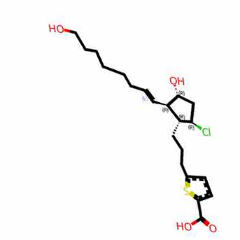 O=C(O)c1ccc(CCC[C@@H]2[C@@H](/C=C/CCCCCCO)[C@H](O)C[C@H]2Cl)s1